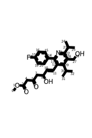 COC(=O)CC(=O)CC(O)C=Cc1c(-c2ccc(F)cc2)nc(C(C)C)c(CO)c1C(C)C